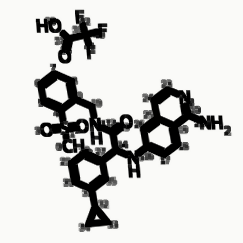 CS(=O)(=O)c1ccccc1CNC(=O)C(Nc1ccc2c(N)nccc2c1)c1cccc(C2CC2)c1.O=C(O)C(F)(F)F